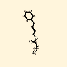 [N-]=[N+]=CC(=O)OCC=CCC1CCCCC1